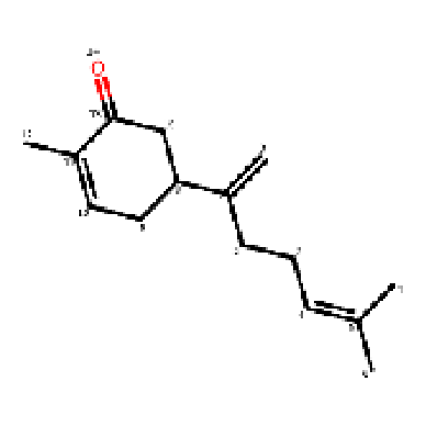 C=C(CCC=C(C)C)C1CC=C(C)C(=O)C1